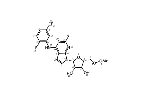 COOC[C@H]1O[C@@H](n2cnc3c(Nc4cc(C(F)(F)F)ccc4F)nc(C)nc32)C(O)C1O